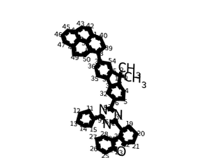 CC1(C)c2ccc(-c3nc(-c4ccccc4)nc(-c4cccc5oc6ccccc6c45)n3)cc2-c2ccc(-c3ccc4ccc5cccc6ccc3c4c56)cc21